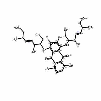 CCCCCCCCCCCC(C)/C=C/C(O)C(CO)Nc1c(F)c(F)c(NC(CO)C(O)/C=C/C(C)CCCCCCCCCCC)c2c1C(=O)c1c(O)ccc(O)c1C2=O